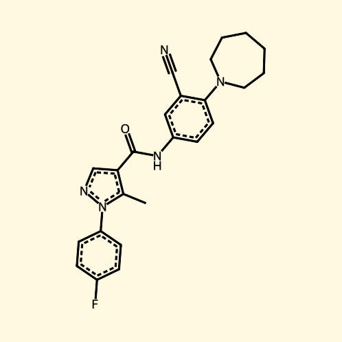 Cc1c(C(=O)Nc2ccc(N3CCCCCC3)c(C#N)c2)cnn1-c1ccc(F)cc1